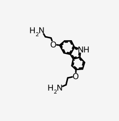 NCCOc1ccc2[nH]c3ccc(OCCN)cc3c2c1